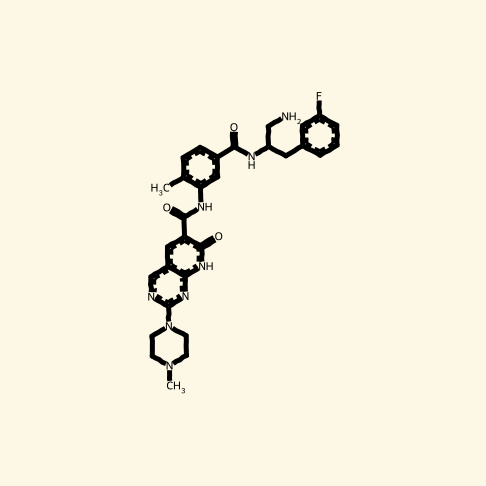 Cc1ccc(C(=O)NC(CN)Cc2cccc(F)c2)cc1NC(=O)c1cc2cnc(N3CCN(C)CC3)nc2[nH]c1=O